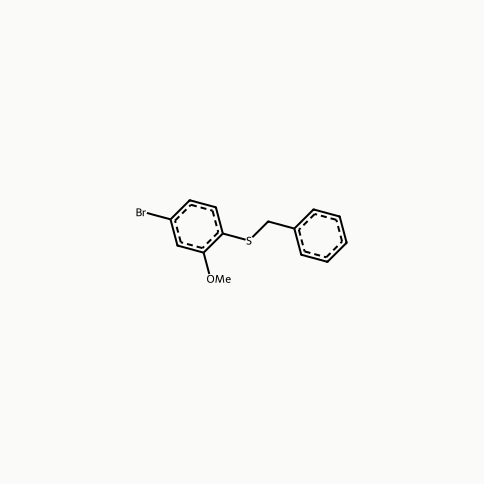 COc1cc(Br)ccc1SCc1ccccc1